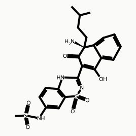 CC(C)CC[C@@]1(N)C(=O)C(C2=NS(=O)(=O)c3cc(NS(C)(=O)=O)ccc3N2)=C(O)c2ccccc21